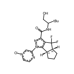 CC(C)(C)C(CO)NC(=O)c1nn(-c2c[n+]([O-])ccn2)c2c1C(F)(F)[C@@H]1CCC[C@H]21